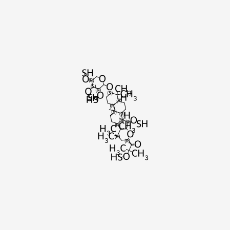 C[C@@H]1C[C@H](C(=O)C(C)(C)OS)OC2C1[C@@]1(C)CC[C@@]34C[C@@]35CC[C@H](OC3OC[C@@H](OS)[C@H](OS)[C@H]3OS)C(C)(C)[C@@H]5CC[C@H]4[C@]1(C)[C@H]2OS